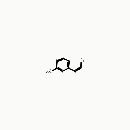 COc1cccc(/C=C\C(C)C)c1